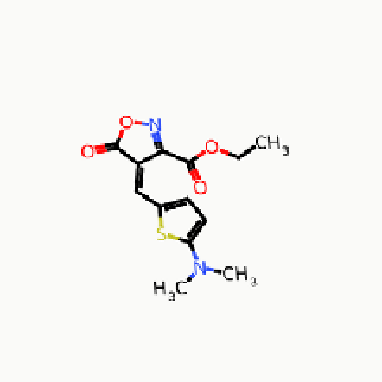 CCOC(=O)C1=NOC(=O)/C1=C/c1ccc(N(C)C)s1